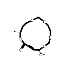 C[C@@H]1CCCCCCCCCC[C@H](O)/C=C/C(=O)O1